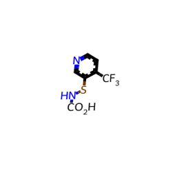 O=C(O)NSc1cnccc1C(F)(F)F